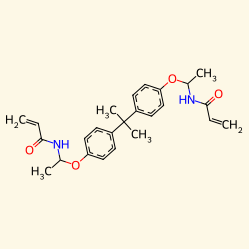 C=CC(=O)NC(C)Oc1ccc(C(C)(C)c2ccc(OC(C)NC(=O)C=C)cc2)cc1